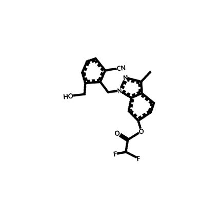 Cc1nn(Cc2c(C#N)cccc2CO)c2cc(OC(=O)C(F)F)ccc12